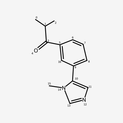 CC(C)C(=O)c1cccc(-c2cncn2C)c1